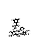 CCCC(CCC)C(=O)N1CCC[C@H]1C(=O)N(C)[C@H](C(=O)N[C@@H](CCNC(=O)c1cc(F)cc(F)c1)C(=O)NO)C(C)CC